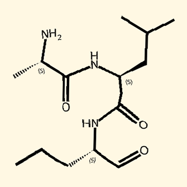 CCC[C@@H](C=O)NC(=O)[C@H](CC(C)C)NC(=O)[C@H](C)N